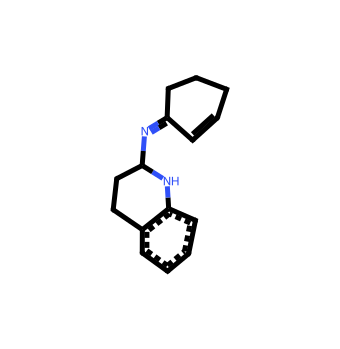 C1=CC(=NC2CCc3ccccc3N2)CCC1